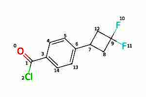 O=C(Cl)c1ccc(C2CC(F)(F)C2)cc1